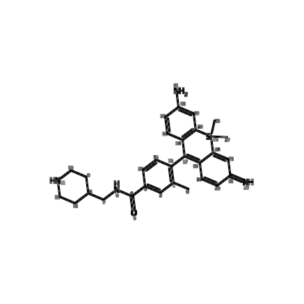 Cc1cc(C(=O)NCC2CCNCC2)ccc1C1=C2C=CC(=N)C=C2[Si](C)(C)c2cc(N)ccc21